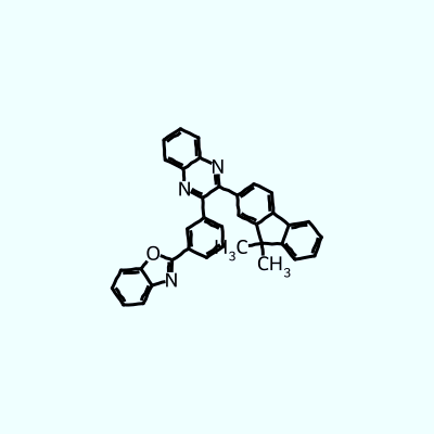 CC1(C)c2ccccc2-c2ccc(-c3nc4ccccc4nc3-c3cccc(-c4nc5ccccc5o4)c3)cc21